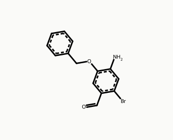 Nc1cc(Br)c(C=O)cc1OCc1ccccc1